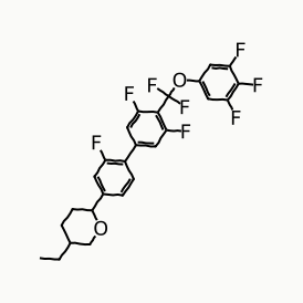 CCC1CCC(c2ccc(-c3cc(F)c(C(F)(F)Oc4cc(F)c(F)c(F)c4)c(F)c3)c(F)c2)OC1